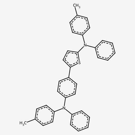 Cc1ccc(N(c2ccccc2)c2ccc(-c3ccc(N(c4ccccc4)c4ccc(C)cc4)s3)cc2)cc1